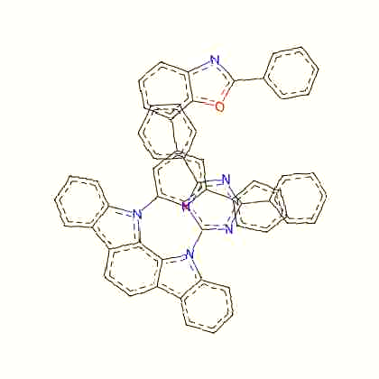 c1ccc(-c2cc(-c3cccc4nc(-c5ccccc5)oc34)cc(-n3c4ccccc4c4ccc5c6ccccc6n(-c6nc(-c7ccccc7)nc(-c7ccccc7)n6)c5c43)c2)cc1